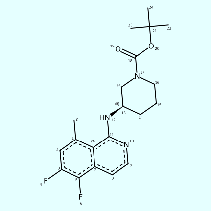 Cc1cc(F)c(F)c2ccnc(N[C@@H]3CCCN(C(=O)OC(C)(C)C)C3)c12